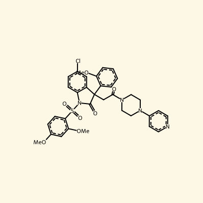 COc1ccc(S(=O)(=O)N2C(=O)C(CC(=O)N3CCN(c4ccncc4)CC3)(c3ccccc3OC)c3cc(Cl)ccc32)c(OC)c1